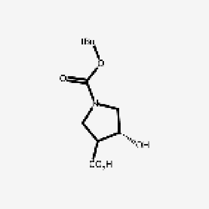 CC(C)(C)OC(=O)N1CC(C(=O)O)[C@@H](O)C1